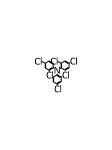 Clc1ccc(N(c2ccc(Cl)cc2Cl)c2ccc(Cl)cc2Cl)c(Cl)c1